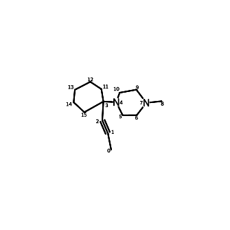 CC#CC1(N2CCN(C)CC2)CCCCC1